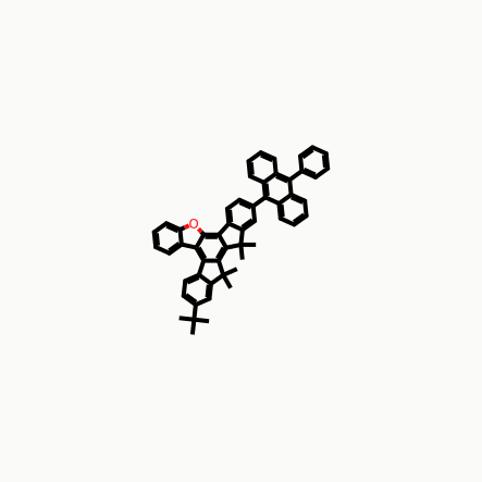 CC(C)(C)c1ccc2c(c1)C(C)(C)c1c3c(c4oc5ccccc5c4c1-2)-c1ccc(-c2c4ccccc4c(-c4ccccc4)c4ccccc24)cc1C3(C)C